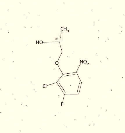 C[C@@H](O)COc1c([N+](=O)[O-])ccc(F)c1Cl